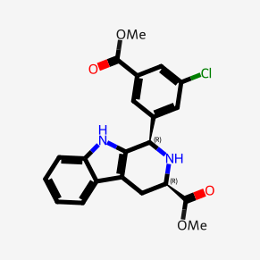 COC(=O)c1cc(Cl)cc([C@H]2N[C@@H](C(=O)OC)Cc3c2[nH]c2ccccc32)c1